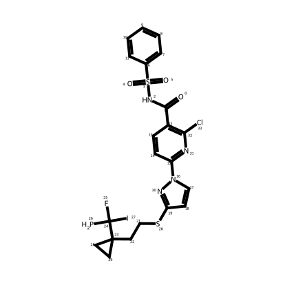 O=C(NS(=O)(=O)c1ccccc1)c1ccc(-n2ccc(SCCC3(C(F)(P)I)CC3)n2)nc1Cl